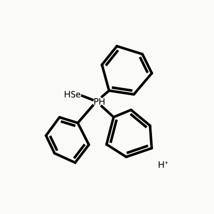 [H+].[SeH][PH](c1ccccc1)(c1ccccc1)c1ccccc1